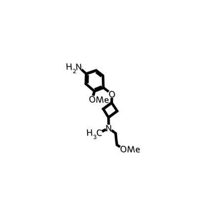 COCCN(C)C1CC(Oc2ccc(N)cc2OC)C1